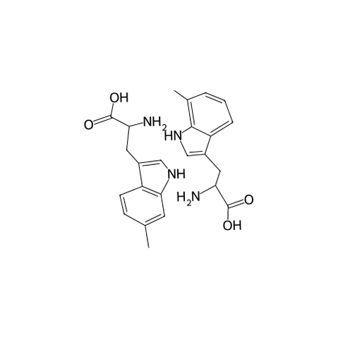 Cc1ccc2c(CC(N)C(=O)O)c[nH]c2c1.Cc1cccc2c(CC(N)C(=O)O)c[nH]c12